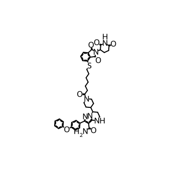 NC(=O)c1c(-c2ccc(Oc3ccccc3)cc2)nn2c1NCCC2C1CCN(C(=O)CCCCCCSc2cccc3c2C(=O)N(C2CCC(=O)NC2=O)C3=O)CC1